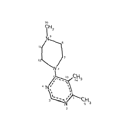 Cc1ncnc(N2CCN(C)CC2)c1C